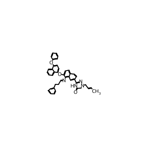 CC=CCN1CC(=O)NC(c2ccc3ccc(Oc4ccc(Oc5ccccc5)c5ccccc45)c(N=CCCc4ccccc4)c3c2)=N1